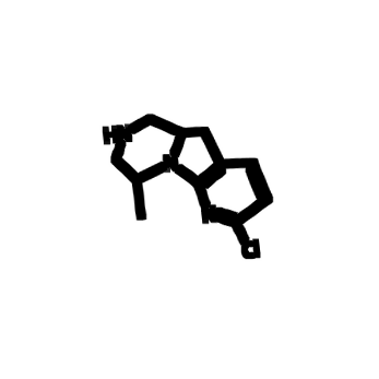 CC1CNCC2Cc3ccc(Cl)nc3N12